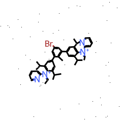 CC=[N+](c1ccccn1)c1c(C(C)C)cc(-c2cc(Br)cc(-c3cc(C(C)C)c([N+](=CC)c4ccccn4)c(C(C)C)c3)c2C)cc1C(C)C